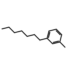 CCCCCC[CH]c1cccc(C)c1